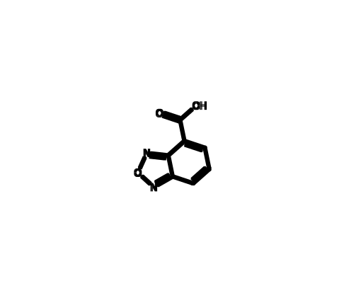 O=C(O)c1cccc2nonc12